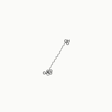 O=C(O)CCCCCCCCCCCCCCCCCCCC(=O)ON1C(=O)CCC1=O